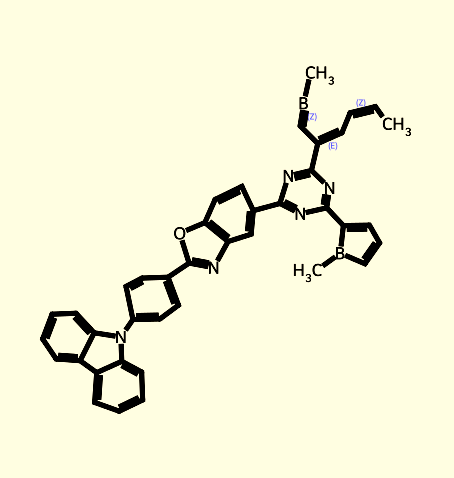 C\B=C/C(=C\C=C/C)c1nc(C2=CC=CB2C)nc(-c2ccc3oc(-c4ccc(-n5c6ccccc6c6ccccc65)cc4)nc3c2)n1